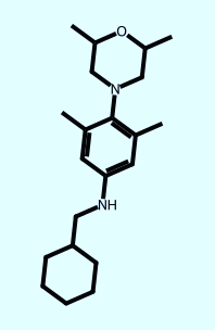 Cc1cc(NCC2CCCCC2)cc(C)c1N1CC(C)OC(C)C1